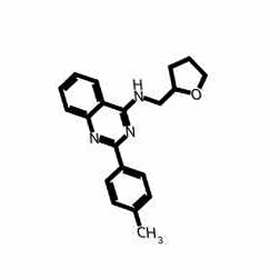 Cc1ccc(-c2nc(NCC3CCCO3)c3ccccc3n2)cc1